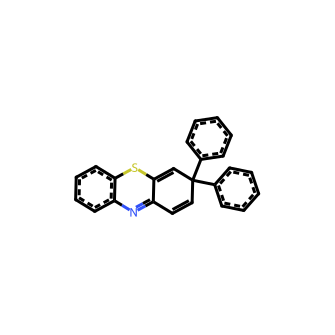 C1=CC(c2ccccc2)(c2ccccc2)C=C2Sc3ccccc3N=C12